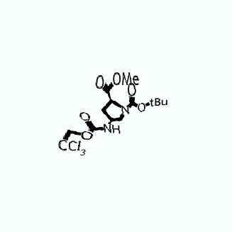 COC(=O)[C@@H]1C[C@H](NC(=O)OCC(Cl)(Cl)Cl)CN1C(=O)OC(C)(C)C